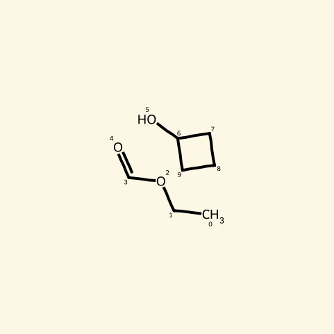 CCOC=O.OC1CCC1